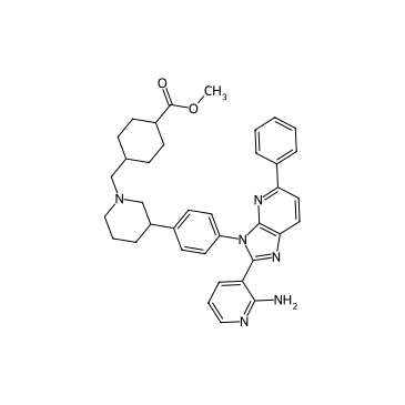 COC(=O)C1CCC(CN2CCCC(c3ccc(-n4c(-c5cccnc5N)nc5ccc(-c6ccccc6)nc54)cc3)C2)CC1